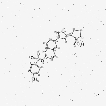 Cc1ccc(S(=O)(=O)Oc2ccc3cc(-c4noc(C5CCCN5C(=O)O)n4)ccc3c2)cc1